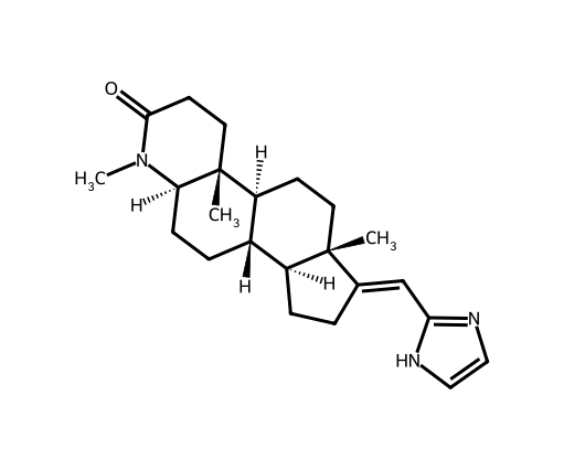 CN1C(=O)CC[C@]2(C)[C@H]3CC[C@]4(C)/C(=C/c5ncc[nH]5)CC[C@H]4[C@@H]3CC[C@@H]12